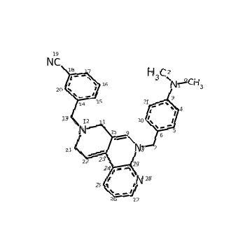 CN(C)c1ccc(CN2C=C3CN(Cc4cccc(C#N)c4)CC=C3c3cccnc32)cc1